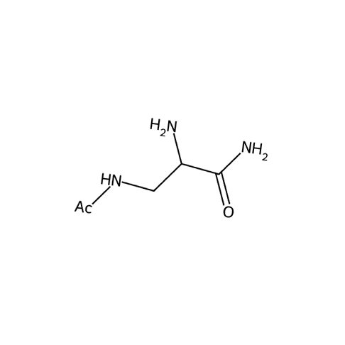 CC(=O)NCC(N)C(N)=O